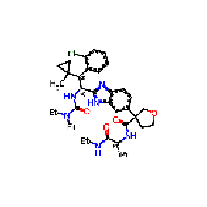 CCNC(=O)[C@H](NC(=O)C1(c2ccc3nc([C@@H](NC(=O)N(CC)CC)[C@H](c4ccccc4Cl)C4(C)CC4)[nH]c3c2)CCOC1)C(C)C